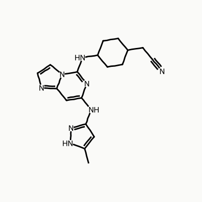 Cc1cc(Nc2cc3nccn3c(NC3CCC(CC#N)CC3)n2)n[nH]1